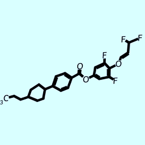 CCCC1CCC(c2ccc(C(=O)Oc3cc(F)c(O/C=C/C(F)F)c(F)c3)cc2)CC1